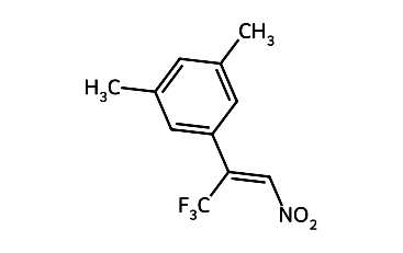 Cc1cc(C)cc(C(=C[N+](=O)[O-])C(F)(F)F)c1